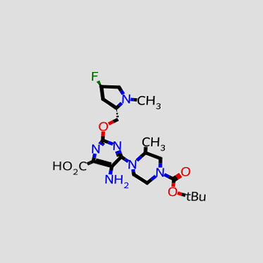 CC1CN(C(=O)OC(C)(C)C)CCN1c1nc(OC[C@@H]2C[C@@H](F)CN2C)nc(C(=O)O)c1N